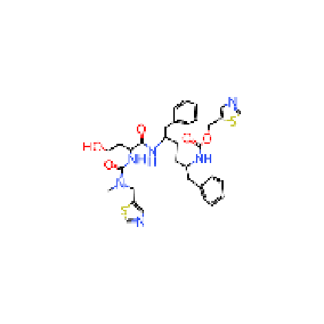 CN(Cc1cncs1)C(=O)NC(CCO)C(=O)NC(CCC(Cc1ccccc1)NC(=O)OCc1cncs1)Cc1ccccc1